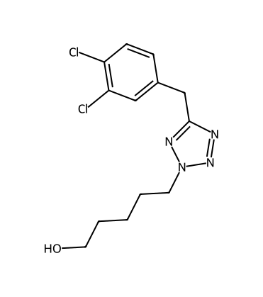 OCCCCCn1nnc(Cc2ccc(Cl)c(Cl)c2)n1